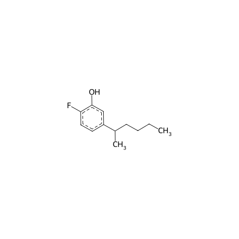 CCCCC(C)c1ccc(F)c(O)c1